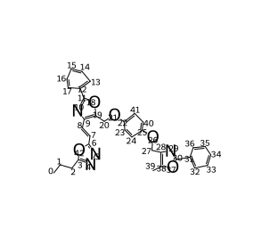 CCCc1nnc(/C=C/c2nc(-c3ccccc3)oc2COc2ccc(OCc3nc(-c4ccccc4)oc3C)cc2)o1